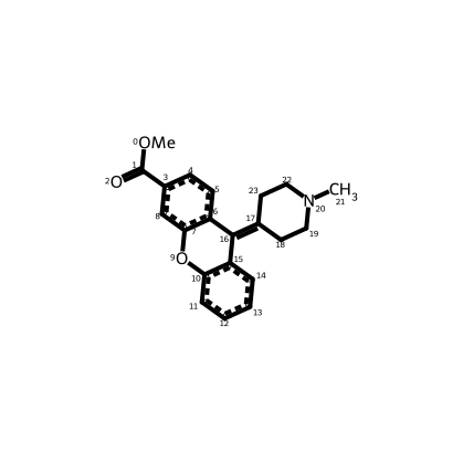 COC(=O)c1ccc2c(c1)Oc1ccccc1C2=C1CCN(C)CC1